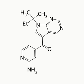 CCC(C)(C)n1cc(C(=O)c2ccnc(N)c2)c2cncnc21